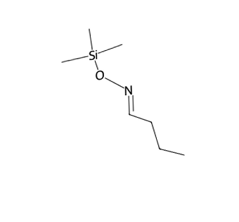 CCCC=NO[Si](C)(C)C